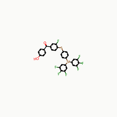 O=C(c1ccc(O)cc1)c1ccc(Sc2ccc([S+](c3cc(F)c(F)c(F)c3)c3cc(F)c(F)c(F)c3)cc2)c(F)c1